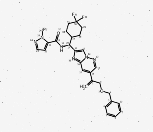 C=C(COCc1ccccc1)c1cnn2cc([C@@H](NC(=O)c3ccnn3C(C)C)C3CCC(F)(F)CC3)nc2c1